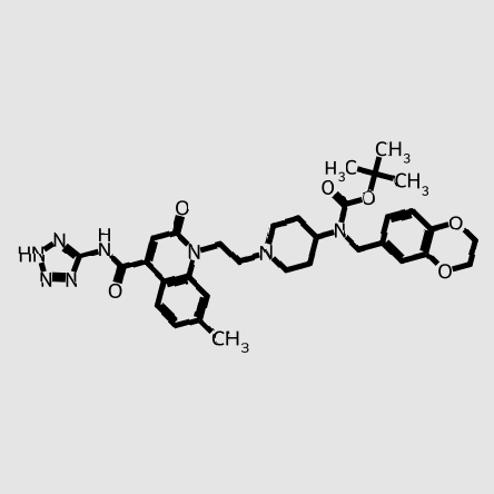 Cc1ccc2c(C(=O)Nc3nn[nH]n3)cc(=O)n(CCN3CCC(N(Cc4ccc5c(c4)OCCO5)C(=O)OC(C)(C)C)CC3)c2c1